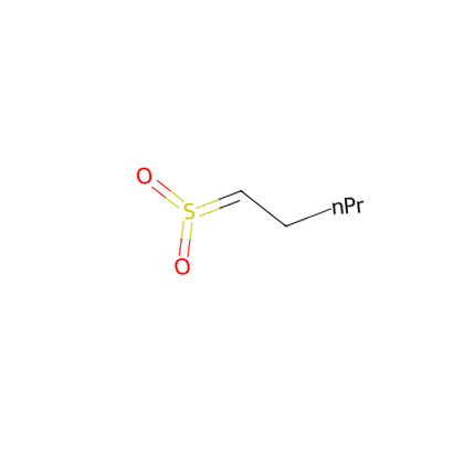 [CH2]CCCC=S(=O)=O